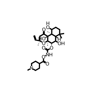 C=C[C@@]1(C)CC(=O)[C@]2(O)[C@@]3(C)C(O)CCC(C)(C)[C@@H]3C(O)[C@H](OC(=O)NOC(=O)C3CCN(C)CC3)[C@@]2(C)O1